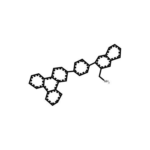 NCc1cc2ccccc2cc1-c1ccc(-c2ccc3c4ccccc4c4ccccc4c3c2)cc1